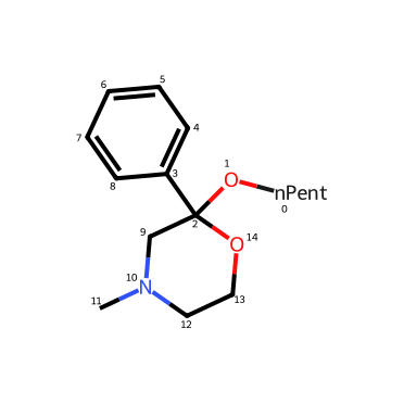 CCCCCOC1(c2ccccc2)CN(C)CCO1